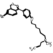 C=CCN(C)CCCCCCOc1ccc(C2=NOCc3cc(Br)ccc32)cc1